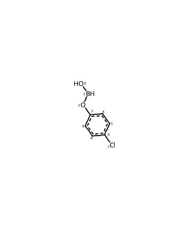 OBOc1ccc(Cl)cc1